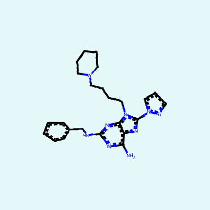 Nc1nc(NCc2ccccc2)nc2c1nc(-n1cccn1)n2CCCCN1CCCCC1